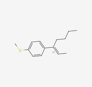 C/C=C(\CCCC)c1ccc(SC)cc1